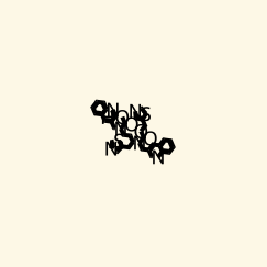 O=C(O)N(CCC(Cc1cncs1)N(Cc1cnc2ccccc2c1)C(=O)OCc1cncs1)Cc1cnc2ccccc2c1